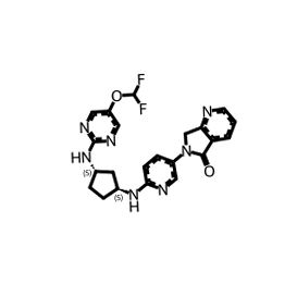 O=C1c2cccnc2CN1c1ccc(N[C@H]2CC[C@H](Nc3ncc(OC(F)F)cn3)C2)nc1